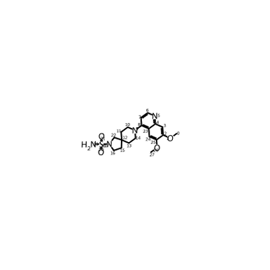 COc1cc2nccc(N3CCC4(CC3)CCN(S(N)(=O)=O)C4)c2cc1OC